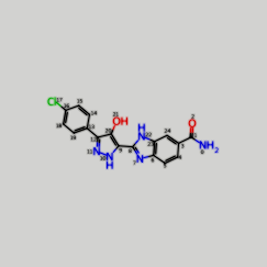 NC(=O)c1ccc2nc(-c3[nH]nc(-c4ccc(Cl)cc4)c3O)[nH]c2c1